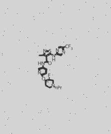 CCCN1CC[C@@H](Oc2ccc(NC(=O)c3c(C)nsc3Nc3cnc(C(F)(F)F)cn3)cn2)[C@@H](F)C1